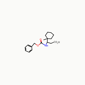 CC1(C(CC(=O)O)NC(=O)OCc2ccccc2)CCCCC1